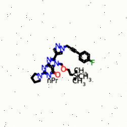 CCCn1c(N2CCCC2)nc2nc(-c3cnn(CC#Cc4ccc(F)cc4)c3)n(COCC[Si](C)(C)C)c2c1=O